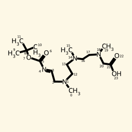 CN(CC=NC(=O)OC(C)(C)C)CCN(C)CCN(C)CC(=O)O